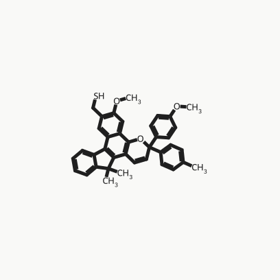 COc1ccc(C2(c3ccc(C)cc3)C=Cc3c4c(c5cc(CS)c(OC)cc5c3O2)-c2ccccc2C4(C)C)cc1